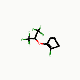 FC(F)(F)C(OC1=C(Cl)CCC1)C(F)(F)F